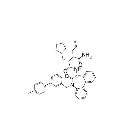 C=CC[C@H](C(N)=O)[C@@H](CC1CCCC1)C(=O)NC1C(=O)N(Cc2cccc(-c3ccc(C)cc3)c2)c2ccccc2-c2ccccc21